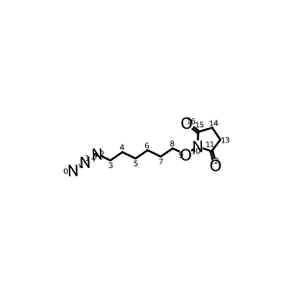 [N-]=[N+]=NCCCCCCON1C(=O)CCC1=O